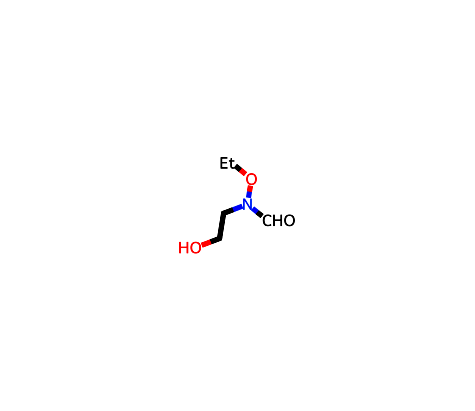 CCON(C=O)CCO